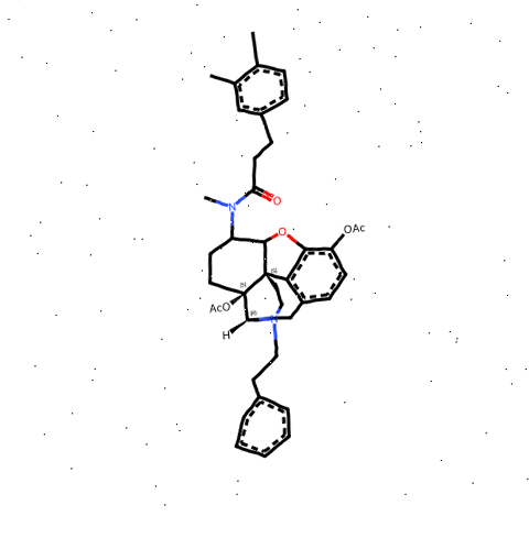 CC(=O)Oc1ccc2c3c1OC1C(N(C)C(=O)CCc4ccc(C)c(C)c4)CC[C@@]4(OC(C)=O)[C@@H](C2)N(CCc2ccccc2)CC[C@]314